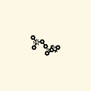 CC1(C)c2ccccc2-n2ccc3c2c1cc1c2ccccc2n(-c2ccc(-c4cccc(-c5nc(-c6ccccc6)nc(-c6ccccc6)n5)c4)cc2)c13